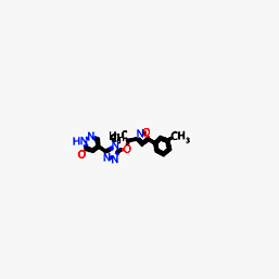 Cc1cccc(-c2cc([C@@H](C)Oc3nnc(-c4cn[nH]c(=O)c4)n3C)no2)c1